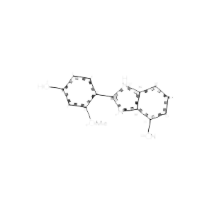 COc1cc(O)ccc1-c1nc2c(C#N)cccc2[nH]1